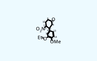 CCOc1cc(C2CC(=O)CCC2[N+](=O)[O-])ccc1OC